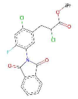 CC(C)OC(=O)C(Cl)Cc1cc(N2C(=O)c3ccccc3C2=O)c(F)cc1Cl